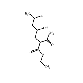 CCOC(=O)C(CC(O)CC(C)Cl)C(C)=O